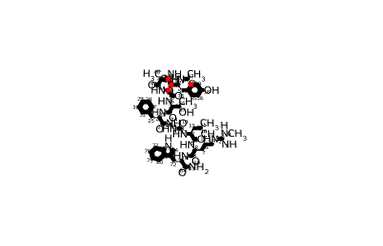 CNC(=N)NCCC[C@H](NC(=O)[C@H](CC(C)C)NC(=O)NNC(=O)[C@H](Cc1ccccc1)NC(=O)[C@@H](NC(=O)[C@H](CC(N)=O)NC(=O)[C@H](C)NC(=O)[C@@H](Cc1ccc(O)cc1)NC(C)=O)[C@@H](C)O)C(=O)N[C@@H](Cc1c[nH]c2ccccc12)C(N)=O